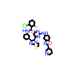 O=C(Nc1cccc(-c2nc3sccn3c2-c2ccnc(Nc3ccc4oc(-c5cccnc5)nc4c3)n2)c1)c1c(F)cccc1Cl